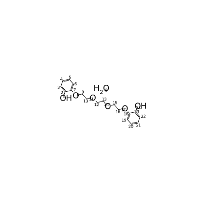 O.Oc1ccccc1OCCOCCOCCOc1ccccc1O